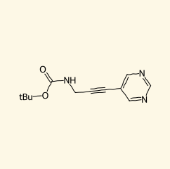 CC(C)(C)OC(=O)NCC#Cc1cncnc1